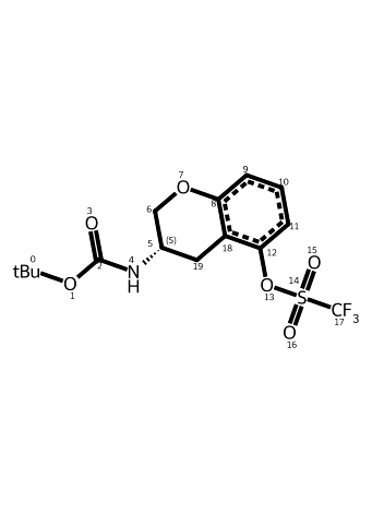 CC(C)(C)OC(=O)N[C@@H]1COc2cccc(OS(=O)(=O)C(F)(F)F)c2C1